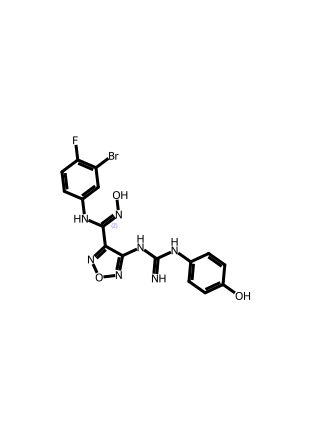 N=C(Nc1ccc(O)cc1)Nc1nonc1/C(=N/O)Nc1ccc(F)c(Br)c1